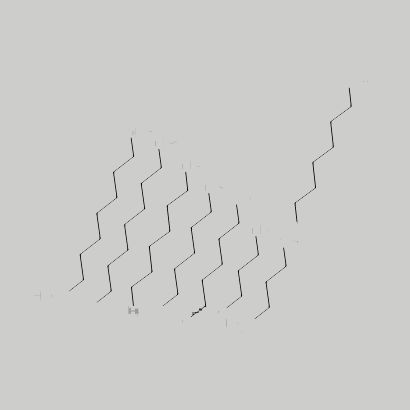 CCCCCCCCCCCCCC(=O)O.CCCCCCCCCCCCCC(=O)O.CCCCCCCCCCCCCCCC(=O)O.CCCCCCCCCCCCCCCC(=O)O.CCCCCCCCCCCCCCCCC(=O)O.CCCCCCCCCCCCCCCCC(=O)O.CCCCCCCCCCCCCCCCCC(=O)O.CCCCCCCCCCCCCCCCCC(=O)O